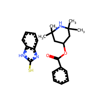 CC1(C)CC(OC(=O)c2ccccc2)CC(C)(C)N1.Sc1nc2ccccc2[nH]1